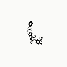 CC1(C)C(=O)N(c2ccc(C#N)c(C(F)(F)F)c2)C(=S)N1c1ccc(NC(=O)Oc2ccccc2)nc1